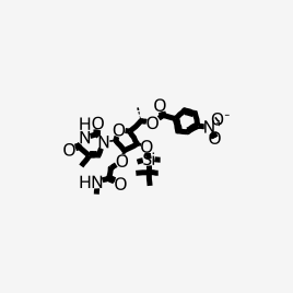 CNC(=O)CO[C@@H]1[C@H](O[Si](C)(C)C(C)(C)C)C([C@H](C)OC(=O)c2ccc([N+](=O)[O-])cc2)O[C@H]1n1cc(C)c(=O)[nH]c1=O